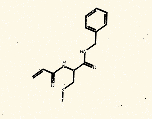 C=CC(=O)NC(CSC)C(=O)NCc1ccccc1